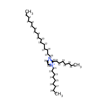 CCCCCCCCCCCCCCCCCn1cc[n+](CCCCCCCCC)c1CCCCCCC